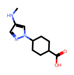 CNc1cnn(C2CCC(C(=O)O)CC2)c1